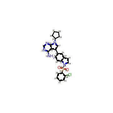 Nc1ncnc2c1c(-c1ccc3c(ccn3S(=O)(=O)c3ccccc3Cl)c1)cn2C1CCCC1